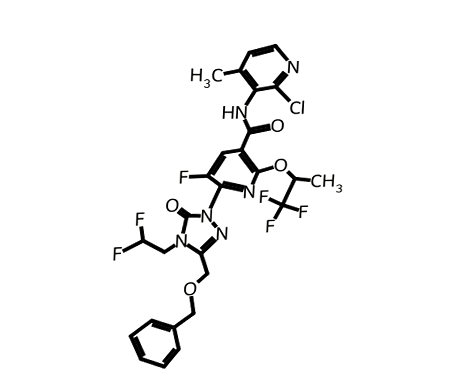 Cc1ccnc(Cl)c1NC(=O)c1cc(F)c(-n2nc(COCc3ccccc3)n(CC(F)F)c2=O)nc1OC(C)C(F)(F)F